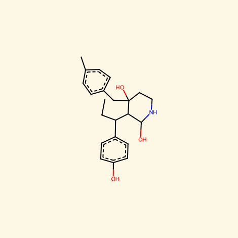 CCC(c1ccc(O)cc1)C1C(O)NCCC1(O)Cc1ccc(C)cc1